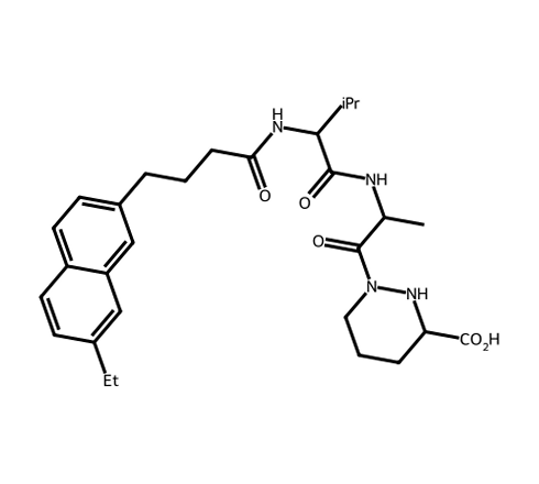 CCc1ccc2ccc(CCCC(=O)NC(C(=O)NC(C)C(=O)N3CCCC(C(=O)O)N3)C(C)C)cc2c1